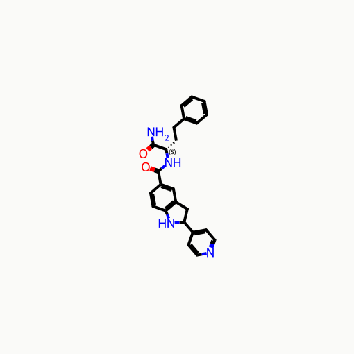 NC(=O)[C@H](CCc1ccccc1)NC(=O)c1ccc2c(c1)CC(c1ccncc1)N2